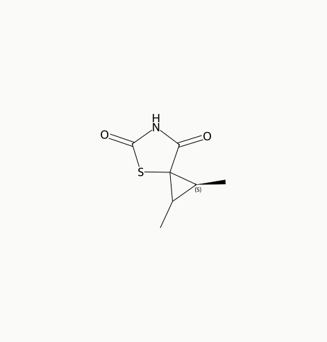 CC1[C@H](C)C12SC(=O)NC2=O